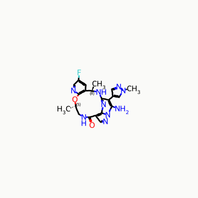 C[C@H]1CNC(=O)c2cnn3c(N)c(-c4cnn(C)c4)c(nc23)N[C@H](C)c2cc(F)cnc2O1